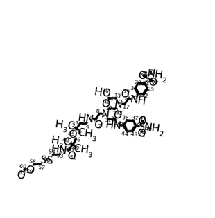 CC(C)(CCNC(=O)CN(CCN(CC(=O)O)CC(=O)Nc1ccc(S(N)(=O)=O)cc1)CC(=O)Nc1ccc(S(N)(=O)=O)cc1)OCC(C)(C)C(=O)NCCSSCCOC=O